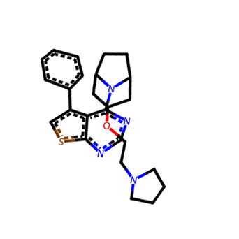 c1ccc(-c2csc3ncnc(N4C5CCC4CC(OCCN4CCCC4)C5)c23)cc1